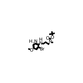 COc1cc(N)c(NCCCN(C)C(=O)OC(C)(C)C)c(Br)c1